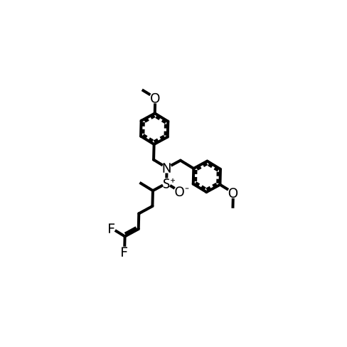 COc1ccc(CN(Cc2ccc(OC)cc2)[S+]([O-])C(C)CCC=C(F)F)cc1